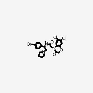 CN(C(=O)CN1C(=O)COc2cc(Cl)c(Cl)cc21)C(CN1CCCC1)c1ccc(Br)cc1